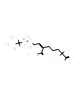 CC(C)(CCCC(=CCO[Si](C)(C)C(C)(C)C)C(N)=O)C(=O)O